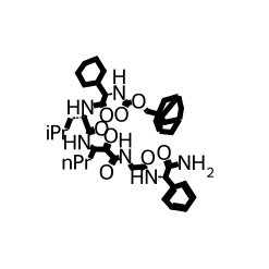 CCCC(NC(=O)[C@H](CC(C)C)NC(=O)[C@@H](NC(=O)OCC12CC3CC(CC(C3)C1)C2)C1CCCCC1)C(=O)C(=O)NCC(=O)N[C@H](C(N)=O)c1ccccc1